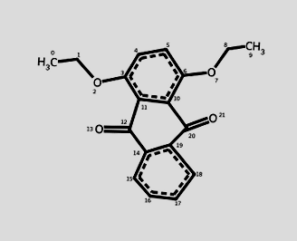 CCOc1ccc(OCC)c2c1C(=O)c1ccccc1C2=O